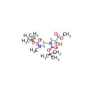 COC(=O)C(O)CN(CCN(C)C(=O)OC(C)(C)C)C(=O)OC(C)(C)C